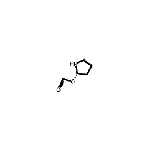 O=CO[C@H]1CCCN1